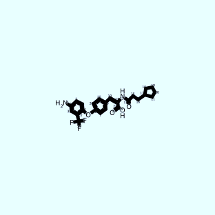 Nc1ccc(Oc2ccc(/C=C(/NC(=O)CCC3CCCC3)C(=O)O)cc2)c(C(F)(F)F)c1